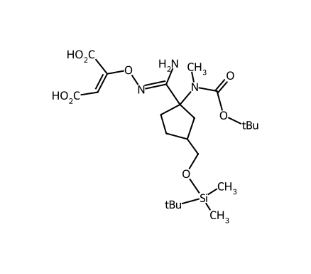 CN(C(=O)OC(C)(C)C)C1(C(N)=NOC(=CC(=O)O)C(=O)O)CCC(CO[Si](C)(C)C(C)(C)C)C1